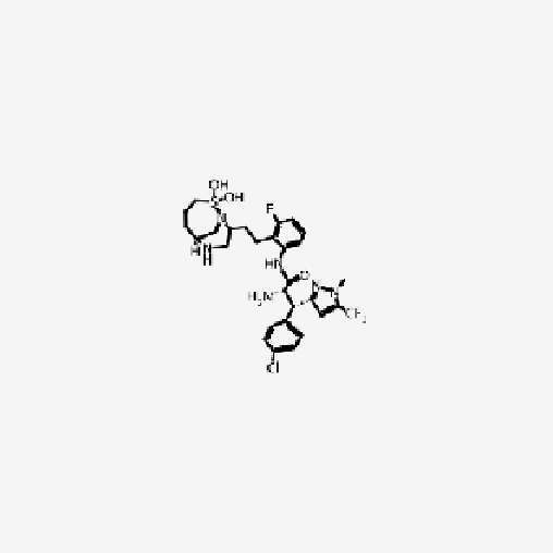 Cn1nc([C@H](c2ccc(Cl)cc2)[C@H](N)C(=O)Nc2cccc(F)c2CC[C@H]2CN[C@@H]3CCCS(O)(O)N2C3)cc1C(F)(F)F